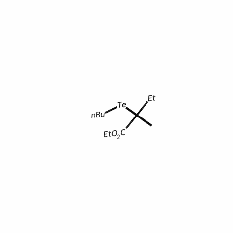 CCCC[Te]C(C)(CC)C(=O)OCC